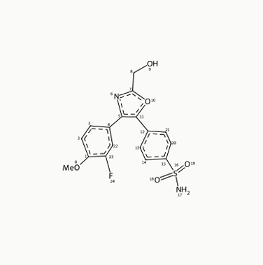 COc1ccc(-c2nc(CO)oc2-c2ccc(S(N)(=O)=O)cc2)cc1F